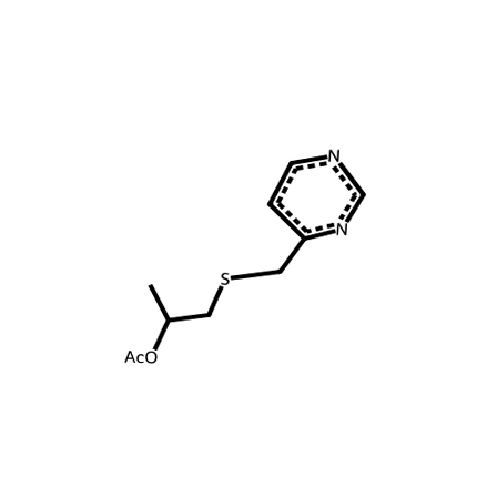 CC(=O)OC(C)CSCc1ccncn1